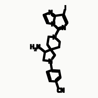 N#Cc1ccc(N2CC(N)C3(CCN(c4ncc(I)c5nccn45)CC3)C2)cc1